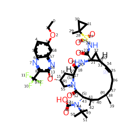 CCOc1ccc2nc(C(F)(F)F)c(O[C@@H]3C[C@H]4C(=O)N[C@]5(C(=O)NS(=O)(=O)C6(C)CC6)C[C@H]5/C=C\CC[C@@H](C)C[C@@H](C)[C@H](N(C(=O)O)C(C)(C)C)C(=O)N4C3)nc2c1